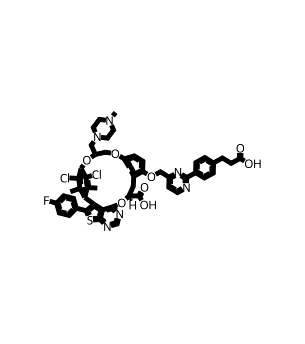 Cc1c(Cl)c2c(Cl)c(C)c1-c1c(-c3ccc(F)cc3)sc3ncnc(c13)O[C@@H](C(=O)O)Cc1cc(ccc1OCc1ccnc(-c3ccc(CCC(=O)O)cc3)n1)OCC(CN1CCN(C)CC1)O2